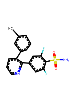 N#Cc1cccc(-c2cccnc2-c2cc(F)c(S(N)(=O)=O)c(F)c2)c1